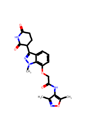 Cc1noc(C)c1NC(=O)COc1cccc2c(C3CCC(=O)NC3=O)nn(C)c12